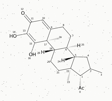 CC(=O)[C@H]1C(C)C[C@H]2[C@@H]3CCC4=CC(=O)C(O)=C(O)[C@]4(C)[C@H]3CC[C@]12C